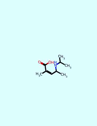 CC(=CC(C)NC(C)C)C(=O)O